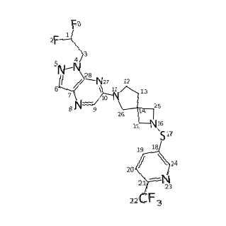 FC(F)Cn1ncc2ncc(N3CCC4(CN(Sc5ccc(C(F)(F)F)nc5)C4)C3)nc21